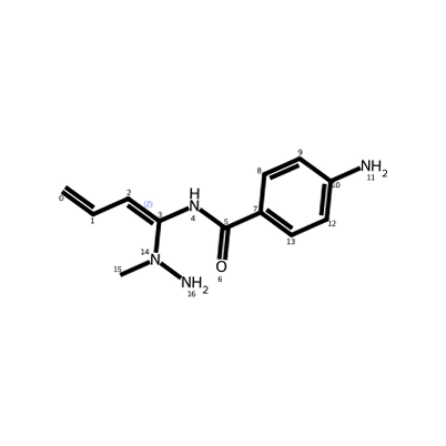 C=C/C=C(/NC(=O)c1ccc(N)cc1)N(C)N